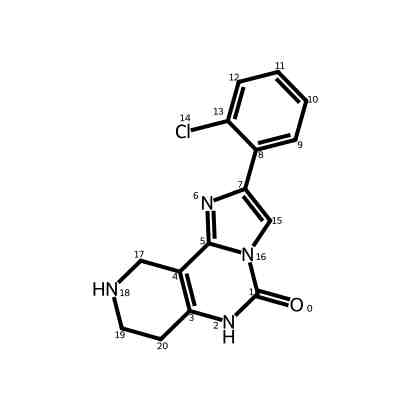 O=c1[nH]c2c(c3nc(-c4ccccc4Cl)cn13)CNCC2